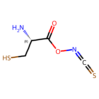 N[C@@H](CS)C(=O)ON=C=S